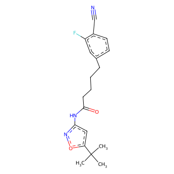 CC(C)(C)c1cc(NC(=O)CCCCc2ccc(C#N)c(F)c2)no1